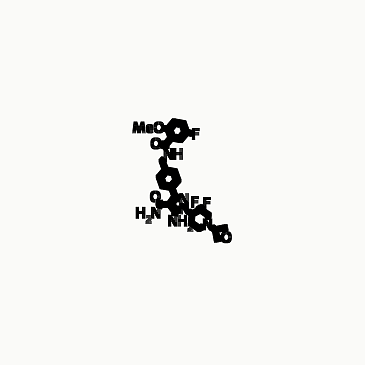 COc1ccc(F)cc1C(=O)NCc1ccc(-c2nn(C3CCN(C4COC4)CC3(F)F)c(N)c2C(N)=O)cc1